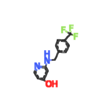 Oc1ccnc(NCc2ccc(C(F)(F)F)cc2)c1